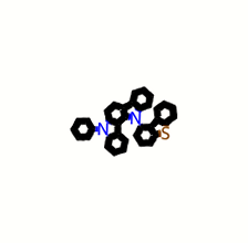 c1ccc(-n2c3ccccc3c3c2ccc2c4ccccc4n(-c4cccc5sc6ccccc6c45)c23)cc1